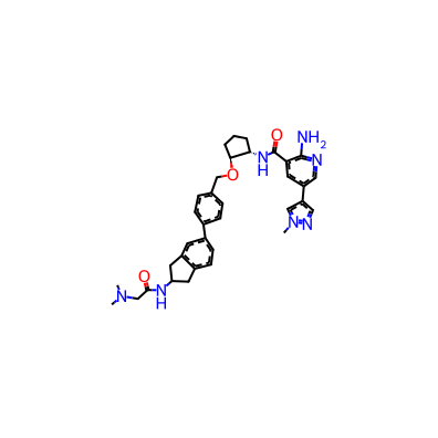 CN(C)CC(=O)NC1Cc2ccc(-c3ccc(CO[C@H]4CCC[C@@H]4NC(=O)c4cc(-c5cnn(C)c5)cnc4N)cc3)cc2C1